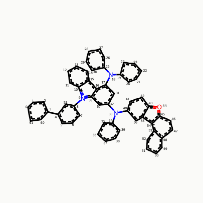 c1ccc(-c2cccc(-n3c4ccccc4c4c(N(c5ccccc5)c5ccccc5)cc(N(c5ccccc5)c5ccc6oc7ccc8ccccc8c7c6c5)cc43)c2)cc1